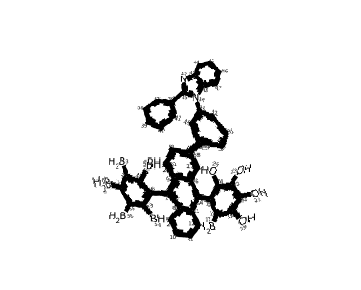 Bc1c(B)c(B)c(-c2c3ccccc3c(-c3c(B)c(O)c(O)c(O)c3O)c3cc(-c4cccc(-n5c(-c6ccccc6)nc6ccccc65)c4)ccc23)c(B)c1B